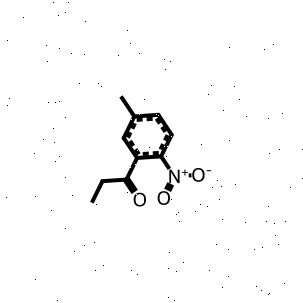 CCC(=O)c1cc(C)ccc1[N+](=O)[O-]